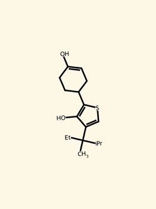 CCC(C)(c1csc(C2CC=C(O)CC2)c1O)C(C)C